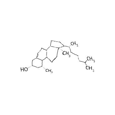 CC(C)CCC[C@@H](C)C1CCC2C3CC=C4C[C@@H](O)C[C@@H](C)C4C3CC[C@@]21C